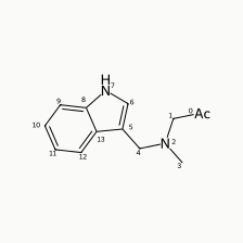 CC(=O)CN(C)Cc1c[nH]c2ccccc12